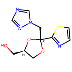 OC[C@@H]1CO[C@@](Cn2cncn2)(c2nccs2)O1